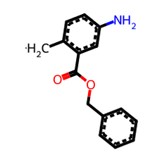 [CH2]c1ccc(N)cc1C(=O)OCc1ccccc1